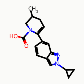 CC1CC=C(c2ccc3cn(C4CC4)nc3c2)N(C(=O)O)C1